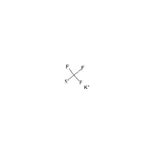 FC(F)(F)[S-].[K+]